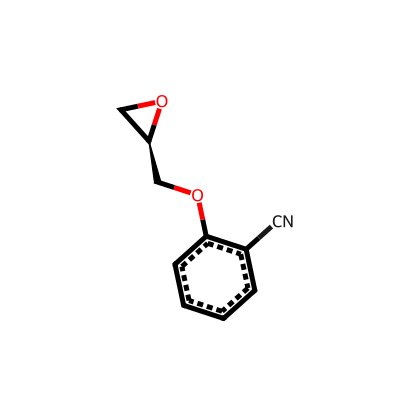 N#Cc1ccccc1OC[C@H]1CO1